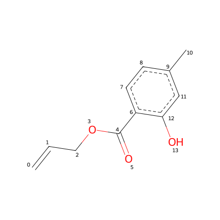 C=CCOC(=O)c1ccc(C)cc1O